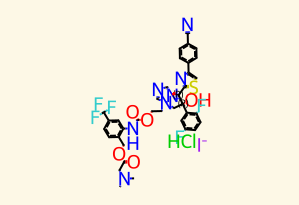 C[C@@H](c1nc(-c2ccc(C#N)cc2)cs1)[C@](O)(C[N+]1(CCOC(=O)Nc2cc(C(F)(F)F)ccc2COC(=O)CN(C)C)C=NC=N1)c1cc(F)ccc1F.Cl.[I-]